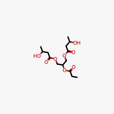 CCC(=O)OC(COC(=O)CC(C)O)COC(=O)CC(C)O